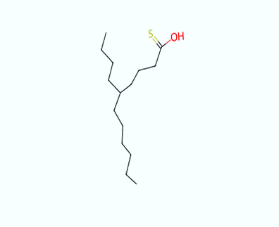 CCCCCCC(CCCC)CCCC(O)=S